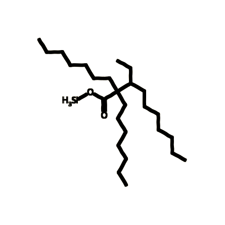 CCCCCCCC(CC)C(CCCCCCC)(CCCCCCC)C(=O)O[SiH3]